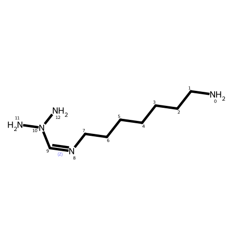 NCCCCCCC/N=C\N(N)N